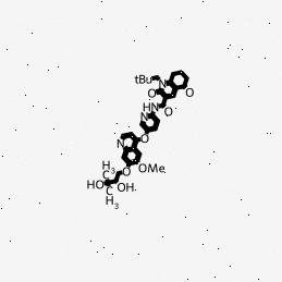 COc1cc2c(Oc3ccc(NC(=O)c4cc5c(n(CC(C)(C)C)c4=O)CCCC5=O)nc3)ccnc2cc1OCC(O)C(C)(C)O